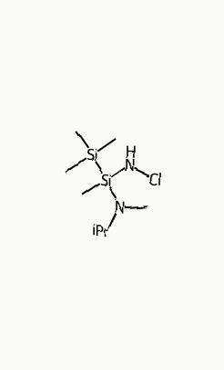 CC(C)N(C)[Si](C)(NCl)[Si](C)(C)C